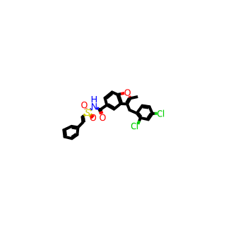 Cc1oc2ccc(C(=O)NS(=O)(=O)C=Cc3ccccc3)cc2c1Cc1ccc(Cl)cc1Cl